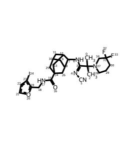 CC(C)(C(=NC#N)NC1C2CC3CC1CC(C(=O)NCc1occc1I)(C3)C2)N1CCCC(F)(F)C1